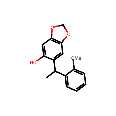 COc1ccccc1C(C)c1cc2c(cc1O)OCO2